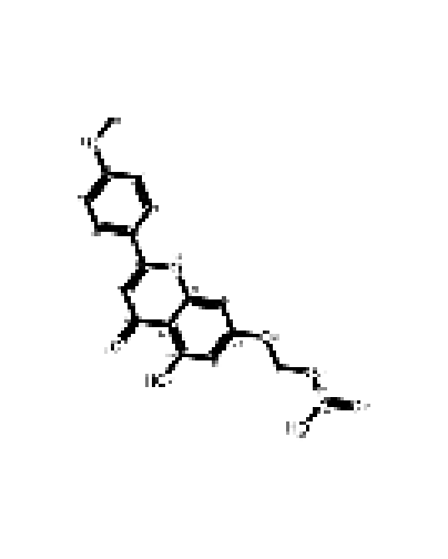 COc1ccc(-c2cc(=O)c3c(O)cc(OCO[PH](=O)O)cc3o2)cc1